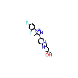 Cc1c(-c2ccc3nc(CC(C)(C)O)cn3c2)nnn1-c1ccc(F)cc1F